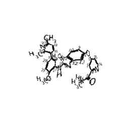 CNC(=O)c1cc(Oc2ccc3c(c2)nc(Nc2cc(-c4ccc(C)nc4C)ccc2OC)n3C)ccn1